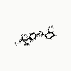 COc1ccccc1-c1nc(-c2ccc3c(c2)nnn3C(C)C)ns1